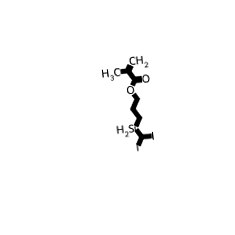 C=C(C)C(=O)OCCC[SiH2]C(I)I